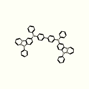 C1=CB2N(C=C1)c1cc(N(c3ccccc3)c3ccc(-c4ccc(N(c5ccccc5)c5ccc6c(c5)N5C=CC=CB5N6c5ccccc5)cc4)cc3)ccc1N2c1ccccc1